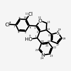 OC(C1=C(c2ccc(Cl)cc2Cl)OCC1c1cccs1)c1cccnc1